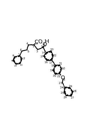 O=C(C[C@@H](CCCc1ccccc1)C(=O)O)c1ccc(-c2ccc(OCc3ccccc3)cc2)cc1